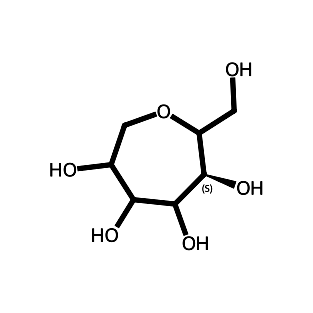 OCC1OCC(O)C(O)C(O)[C@@H]1O